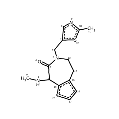 CNC1C(=O)N(Cc2cnc(C)s2)CCc2ccsc21